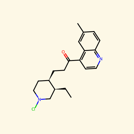 CC[C@H]1CN(Cl)CC[C@H]1CCC(=O)c1ccnc2ccc(C)cc12